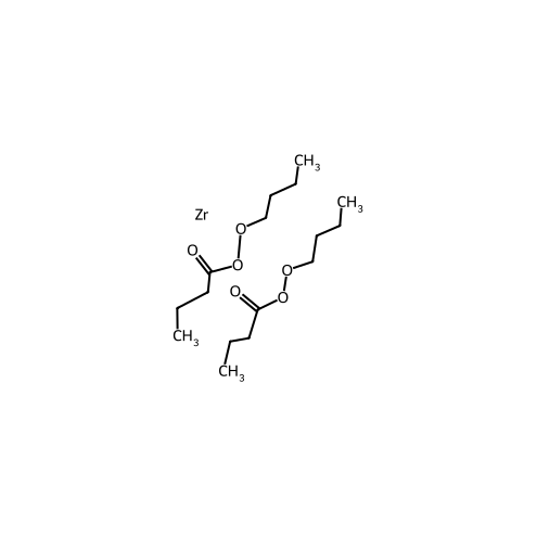 CCCCOOC(=O)CCC.CCCCOOC(=O)CCC.[Zr]